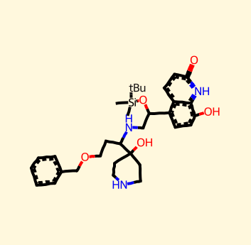 CC(C)(C)[Si](C)(C)OC(CNC(CCOCc1ccccc1)C1(O)CCNCC1)c1ccc(O)c2[nH]c(=O)ccc12